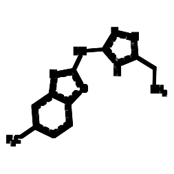 NCc1nnc(Nc2nc3cc(C(F)(F)F)ccc3o2)[nH]1